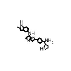 Cc1cc2cc(Nc3ccnc4cc(-c5ccc(C(N)C6CCNC6)cc5)sc34)ccc2[nH]1